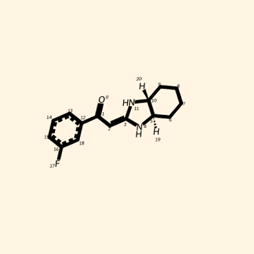 O=C(C=C1N[C@@H]2CCCC[C@H]2N1)c1cccc(F)c1